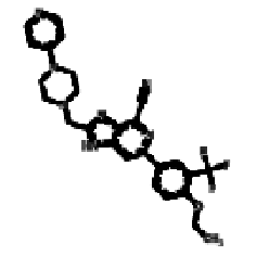 CCOc1ccc(-c2cc3[nH]c(CN4CCN(c5ccncc5)CC4)nc3c(C#N)n2)cc1C(F)(F)F